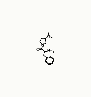 CN(C)[C@H]1CCN(C(=O)[C@@H](N)Cc2ccccc2)C1